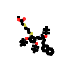 COC(=O)CSCCCS[C@H]1C(O[Si](C)(C)C(C)(C)C)=C[C@@H](O[Si](C)(C)C(C)(C)C)[C@@H]1/C=C/C(C)(CCc1ccc2ccccc2c1)O[Si](C)(C)C(C)(C)C